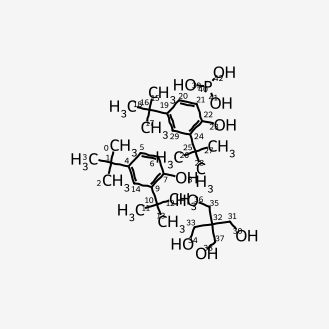 CC(C)(C)c1ccc(O)c(C(C)(C)C)c1.CC(C)(C)c1ccc(O)c(C(C)(C)C)c1.OCC(CO)(CO)CO.OP(O)O